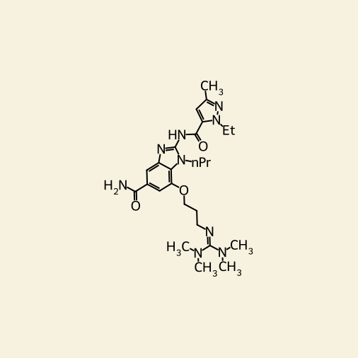 CCCn1c(NC(=O)c2cc(C)nn2CC)nc2cc(C(N)=O)cc(OCCCN=C(N(C)C)N(C)C)c21